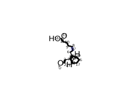 COC=C[C@H]1[C@@H](C/C=C\CCCC(=O)O)[C@H]2CC[C@@H]1S2